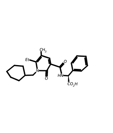 CCc1c(C)cc(C(=O)N[C@H](C(=O)O)c2ccccc2)c(=O)n1CC1CCCCC1